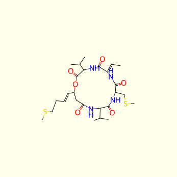 C/C=C1\NC(=O)C(CSC)NC(=O)C(C(C)C)NC(=O)CC(/C=C/CCSC)OC(=O)C(C(C)C)NC1=O